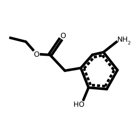 CCOC(=O)Cc1cc(N)ccc1O